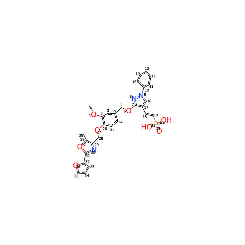 COc1cc(COc2nn(-c3ccccc3)cc2C=CP(=O)(O)O)ccc1OCc1nc(-c2ccco2)oc1C